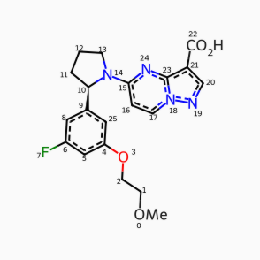 COCCOc1cc(F)cc([C@H]2CCCN2c2ccn3ncc(C(=O)O)c3n2)c1